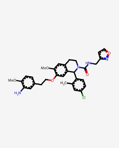 COc1ccc(CCOc2cc3c(cc2OC)CCN(C(=O)NCc2ccon2)C3c2ccc(Cl)cc2C)cc1N